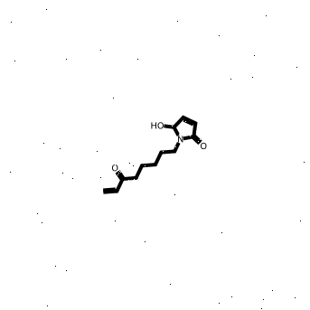 C=CC(=O)CCCCCN1C(=O)C=CC1O